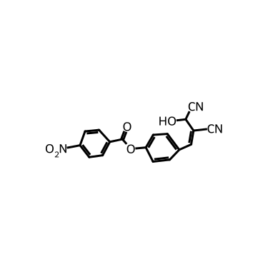 N#C/C(=C/c1ccc(OC(=O)c2ccc([N+](=O)[O-])cc2)cc1)C(O)C#N